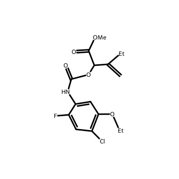 C=C(CC)C(OC(=O)Nc1cc(OCC)c(Cl)cc1F)C(=O)OC